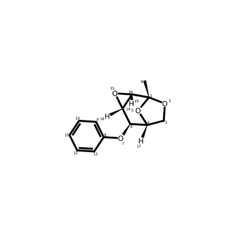 C[C@@]12OC[C@@H](O1)[C@@H](Oc1ccccc1)[C@@H]1O[C@@H]12